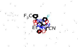 CCN1C(=O)[C@@H](NC(=O)c2cccc(C(F)(F)F)c2)[C@@H](c2ccc(F)cc2)c2c(C(=O)N(C)C(C#N)CCO)nn(-c3ccccc3)c21